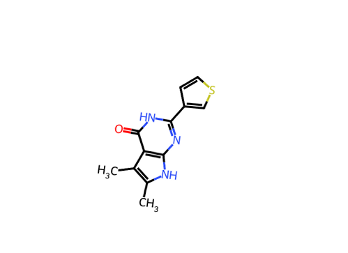 Cc1[nH]c2nc(-c3ccsc3)[nH]c(=O)c2c1C